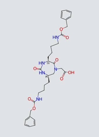 O=C(O)CN1C[C@@H](CCCCNC(=O)OCc2ccccc2)NC(=O)N[C@@H](CCCCNC(=O)OCc2ccccc2)C1=O